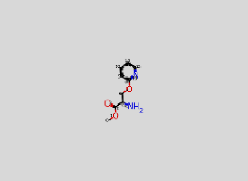 COC(=O)C(N)COc1ccccn1